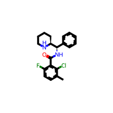 Cc1ccc(F)c(C(=O)N[C@@H](c2ccccc2)[C@@H]2CCCCN2)c1Cl